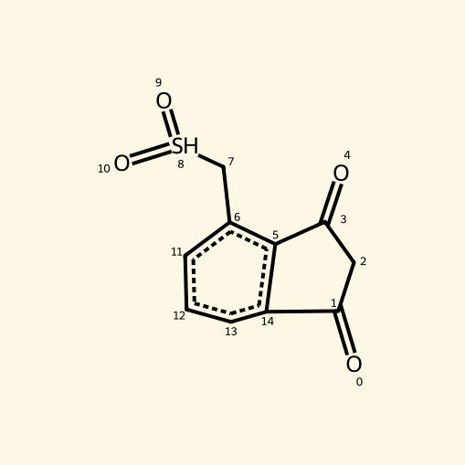 O=C1CC(=O)c2c(C[SH](=O)=O)cccc21